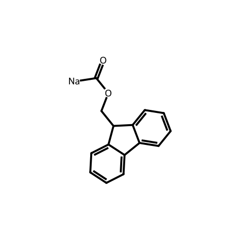 O=[C]([Na])OCC1c2ccccc2-c2ccccc21